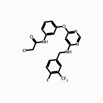 O=C(CCl)Nc1cccc(Oc2cc(NCc3ccc(F)c(C(F)(F)F)c3)ncn2)c1